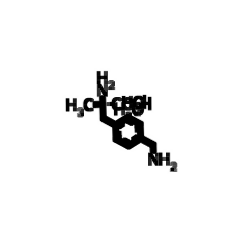 C[C@@](N)(Cc1ccc(CN)cc1)C(=O)O.Cl.O